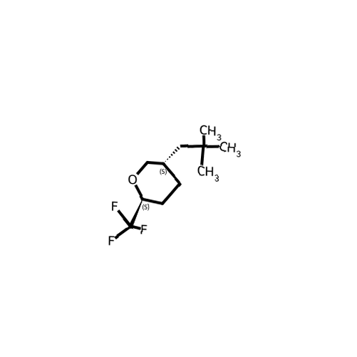 CC(C)(C)C[C@@H]1CC[C@@H](C(F)(F)F)OC1